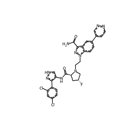 NC(=O)c1nn(CCN2C[C@H](F)C[C@H]2C(=O)Nc2c[nH]nc2-c2ccc(Cl)cc2Cl)c2ccc(-c3ccnnc3)cc12